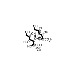 O=C(O)[C@H](O)[C@@H](O)[C@H](O)[C@H](O)CO.O=C(O)[C@H](O)[C@@H](O)[C@H](O)[C@H](O)CO.[Cu].[Mn]